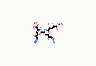 CC(C)OC(=O)[C@H](CCC(=O)C=[N+]=[N-])NC(=O)[C@H](CCC(=O)C=[N+]=[N-])NC(=O)CC[C@H](N)C(=O)OC(C)C